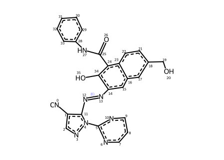 [C-]#[N+]c1cnn(-c2ncccn2)c1/N=N/c1cc2cc(CO)ccc2c(C(=O)Nc2ccccc2)c1O